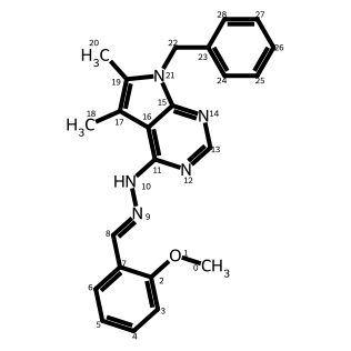 COc1ccccc1C=NNc1ncnc2c1c(C)c(C)n2Cc1ccccc1